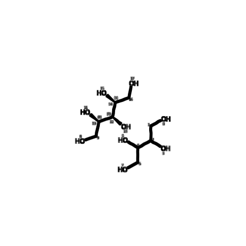 OCC(O)C(O)CO.OC[C@@H](O)[C@H](O)[C@@H](O)CO